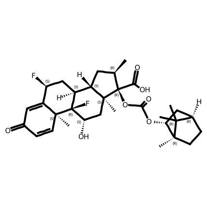 C[C@@H]1C[C@H]2[C@@H]3C[C@H](F)C4=CC(=O)C=C[C@]4(C)[C@@]3(F)[C@@H](O)C[C@]2(C)[C@@]1(OC(=O)O[C@@H]1C[C@H]2CC[C@]1(C)C2(C)C)C(=O)O